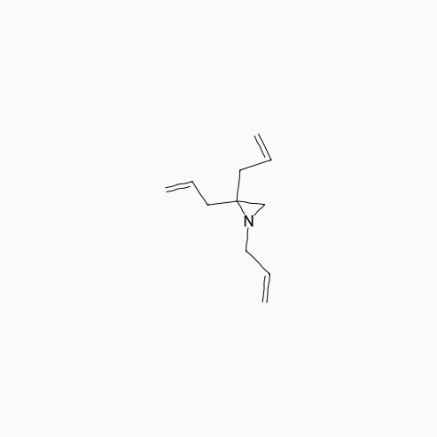 C=CCN1CC1(CC=C)CC=C